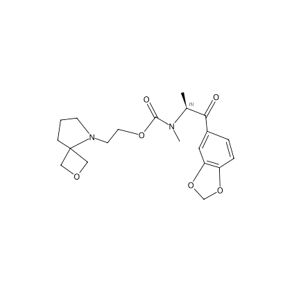 C[C@@H](C(=O)c1ccc2c(c1)OCO2)N(C)C(=O)OCCN1CCCC12COC2